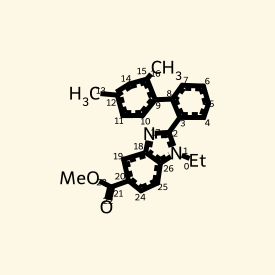 CCn1c(-c2ccccc2-c2ccc(C)cc2C)nc2cc(C(=O)OC)ccc21